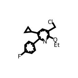 CCOc1nc(-c2ccc(F)cc2)c(C2CC2)cc1CCl